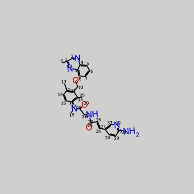 Cc1cnc2cccc(OCc3c(C)ccc(N(C)C(=O)CNC(=O)C=Cc4ccc(N)nc4)c3C)c2n1